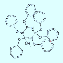 N[PH]1(Oc2ccccc2)N(Oc2ccccc2)P(Oc2ccccc2)N=P(Oc2ccccc2)(Oc2ccccc2)N1Oc1ccccc1